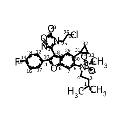 CC(C)CCN(c1cc2oc(-c3ccc(F)cc3)c(-c3noc(=O)n3CCCl)c2cc1C1CC1)S(C)(=O)=O